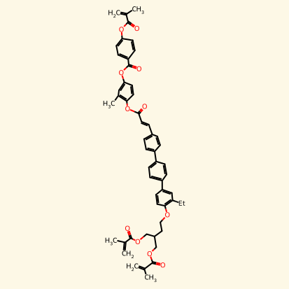 C=C(C)C(=O)OCC(CCOc1ccc(-c2ccc(-c3ccc(/C=C/C(=O)Oc4ccc(OC(=O)c5ccc(OC(=O)C(=C)C)cc5)cc4C)cc3)cc2)cc1CC)COC(=O)C(=C)C